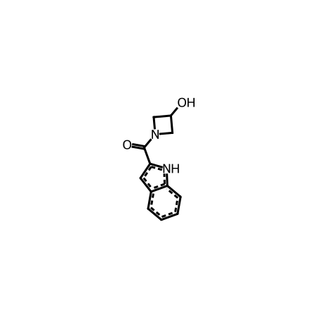 O=C(c1cc2ccccc2[nH]1)N1CC(O)C1